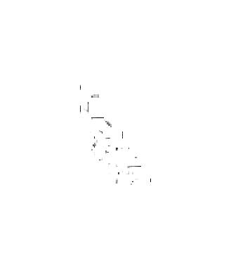 C[C@]12C=CC(NC(=O)O)CC1=CC[C@@H]1[C@H]2CC[C@]2(C)C(O)=CC[C@@H]12